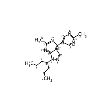 CCCC(CCC)n1ncc2c(-c3cnc(C)nc3)nc(C)nc21